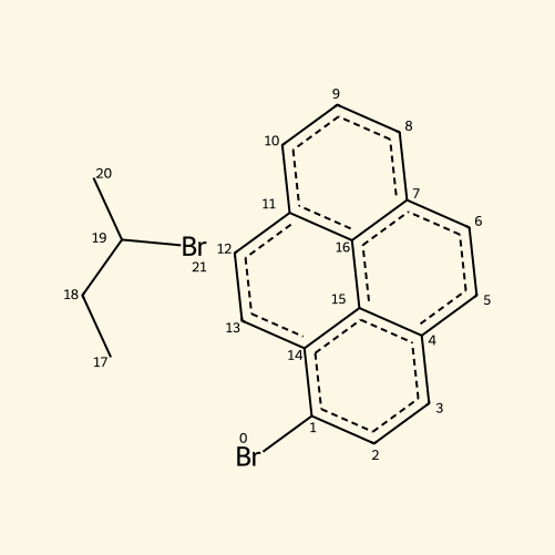 Brc1ccc2ccc3cccc4ccc1c2c34.CCC(C)Br